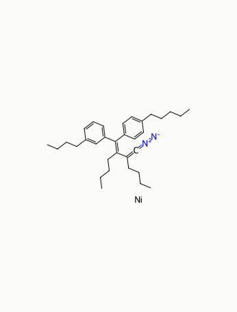 CCCCCc1ccc(C(=C(CCCC)C(=C=[N+]=[N-])CCCC)c2cccc(CCCC)c2)cc1.[Ni]